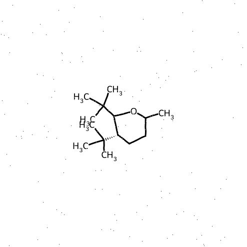 CC1CC[C@H](C(C)(C)C)C(C(C)(C)C)O1